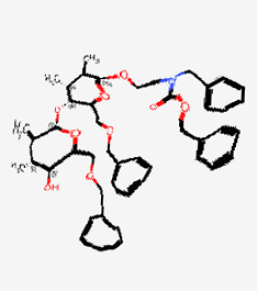 CC1[C@@H](O[C@H]2C(COCc3ccccc3)O[C@H](OCCN(Cc3ccccc3)C(=O)OCc3ccccc3)C(C)[C@H]2C)OC(COCc2ccccc2)[C@@H](O)[C@@H]1C